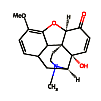 COC1=C2O[C@H]3C(=O)C=C[C@@]4(O)[C@H]5CC(C=C1)C2[C@@]34CCN5C